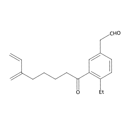 C=CC(=C)CCCCC(=O)c1cc(CC=O)ccc1CC